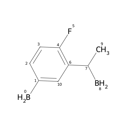 Bc1ccc(F)c(C(B)C)c1